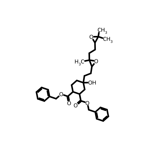 CC1(C)OC1CCC1(C)OC1CCC1(O)CCC(C(=O)OCc2ccccc2)C(C(=O)OCc2ccccc2)C1